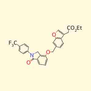 CCOC(=O)Cc1coc2cc(COc3cccc4c3CN(c3ccc(C(F)(F)F)cc3)C4=O)ccc12